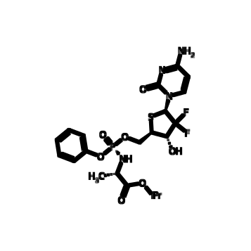 CC(C)OC(=O)[C@H](C)N[P@](=O)(OC[C@H]1S[C@@H](n2ccc(N)nc2=O)C(F)(F)[C@@H]1O)Oc1ccccc1